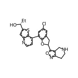 CC[C@@H](O)c1cc2nccc(-c3cc(Cl)cc4c3OC(c3onc5c3CNCC5)C4)c2s1